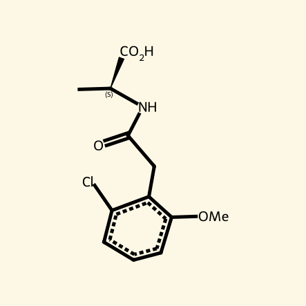 COc1cccc(Cl)c1CC(=O)N[C@@H](C)C(=O)O